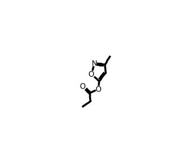 CCC(=O)Oc1cc(C)no1